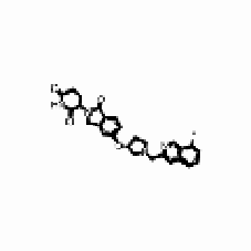 O=C1CCC(N2Cc3cc(O[C@H]4CCN(Cc5cc6cccc(F)c6cn5)C4)ccc3C2=O)C(=O)N1